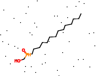 CCCCCCCCCCCCCC[PH](=O)CO